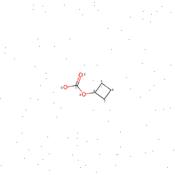 [O]C(=O)OC1CCC1